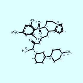 COc1cc(C)c(S(=O)(=O)N2CCn3cccc3C2CCCC(=O)N(C)[C@H]2CCC[C@H](N3CCN(C)CC3)C2)c(C)c1